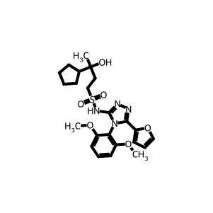 COc1cccc(OC)c1-n1c(NS(=O)(=O)CCC(C)(O)C2CCCC2)nnc1-c1ccco1